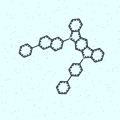 c1ccc(-c2ccc(-n3c4ccccc4c4cc5c6ccccc6n(-c6ccc7cc(-c8ccccc8)ccc7c6)c5cc43)cc2)cc1